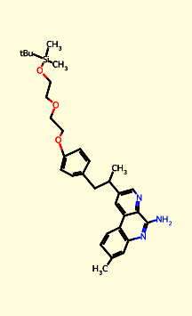 Cc1ccc2c(c1)nc(N)c1ncc(C(C)Cc3ccc(OCCOCCO[Si](C)(C)C(C)(C)C)cc3)cc12